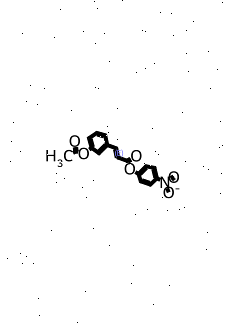 CC(=O)Oc1cccc(/C=C/C(=O)Oc2ccc([N+](=O)[O-])cc2)c1